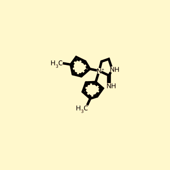 Cc1ccc([N+]2(c3ccc(C)cc3)CCNC2=N)cc1